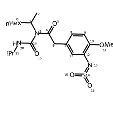 CCCCCCC(C)N(C(=O)Cc1ccc(OC)c(N=S(=O)=O)c1)C(=O)NC(C)C